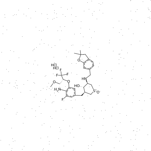 COC[C@@H](Oc1cc(C[C@@H]2C[S@@+]([O-])C[C@H](NCc3ccc4c(c3)OC(C)(C)C4)[C@H]2O)cc(F)c1N)C(F)(F)F.Cl.Cl